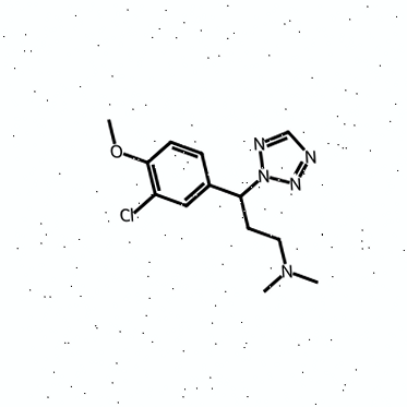 COc1ccc(C(CCN(C)C)n2ncnn2)cc1Cl